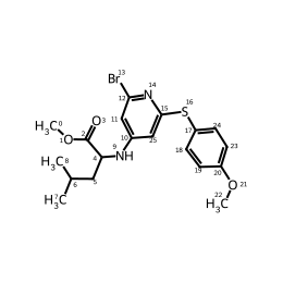 COC(=O)C(CC(C)C)Nc1cc(Br)nc(Sc2ccc(OC)cc2)c1